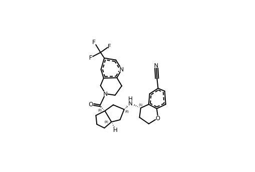 N#Cc1ccc2c(c1)[C@@H](N[C@@H]1C[C@H]3CCC[C@@]3(C(=O)N3CCc4ncc(C(F)(F)F)cc4C3)C1)CCO2